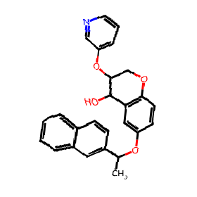 CC(Oc1ccc2c(c1)C(O)C(Oc1cccnc1)CO2)c1ccc2ccccc2c1